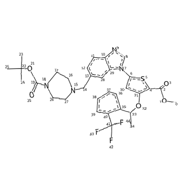 COC(=O)c1sc(-n2cnc3ccc(CN4CCN(C(=O)OC(C)(C)C)CC4)cc32)cc1OC(C)c1ccccc1C(F)(F)F